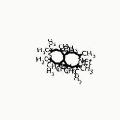 CCN1C(C)CC(C)C2C(C(C)(C)CC(C)(C)SC(C)(C)CC2(C)C)C(C)(C)CC1(C)C